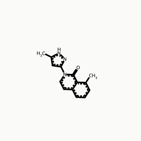 Cc1cc(-n2ccc3cccc(C)c3c2=O)n[nH]1